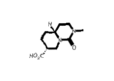 CN1CC[C@H]2CC[C@@H](C(=O)O)CN2C1=O